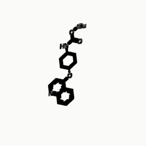 CC(C)(C)OC(=O)N[C@H]1CC[C@H](Oc2ccnc3ccccc23)CC1